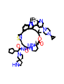 CCn1c(-c2cc(N3CCN(C4CC4)CC3)cnc2C(C)C)c2c3cc(ccc31)-c1csc(n1)C[C@H](NC(=O)C(C1CCCC1)N1CC[C@]3(CCNC3)C1)C(=O)N1CCC[C@H](N1)C(=O)OCC(C)(C)C2